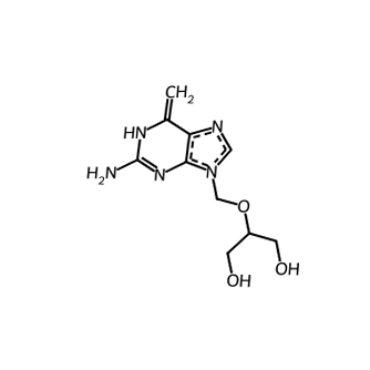 C=C1NC(N)=Nc2c1ncn2COC(CO)CO